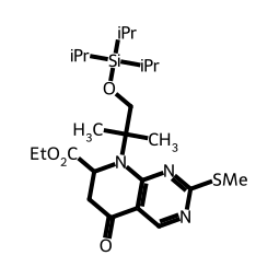 CCOC(=O)C1CC(=O)c2cnc(SC)nc2N1C(C)(C)CO[Si](C(C)C)(C(C)C)C(C)C